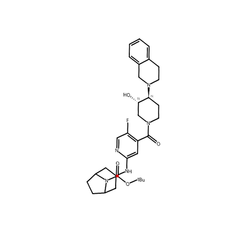 CC(C)(C)OC(=O)N1C2CCC1CC(Nc1cc(C(=O)N3CC[C@H](N4CCc5ccccc5C4)[C@@H](O)C3)c(F)cn1)C2